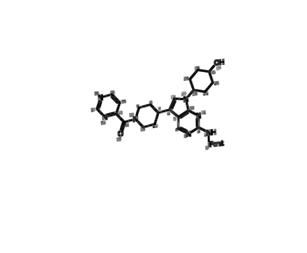 CCCC(C)Nc1ncc2c(C3CCN(C(=O)c4ccncn4)CC3)cn(C3CCC(O)CC3)c2n1